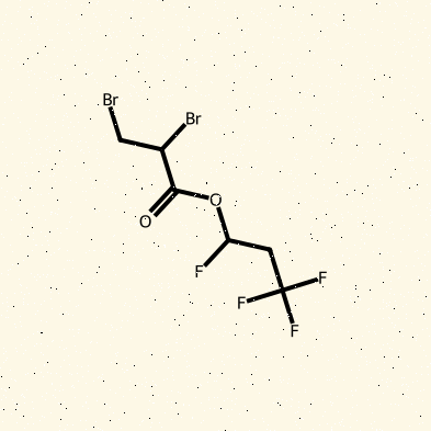 O=C(OC(F)CC(F)(F)F)C(Br)CBr